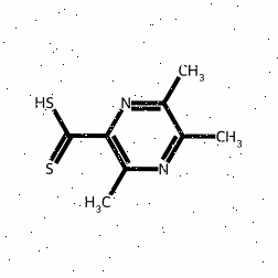 Cc1nc(C)c(C(=S)S)nc1C